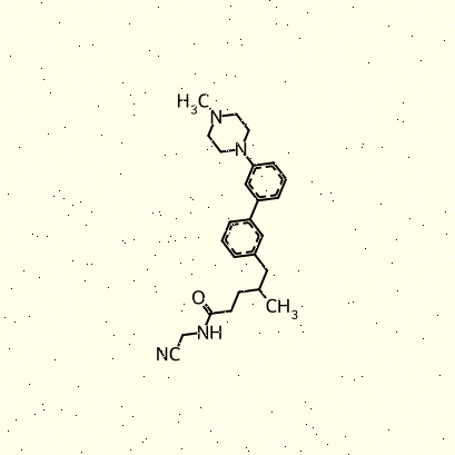 CC(CCC(=O)NCC#N)Cc1cccc(-c2cccc(N3CCN(C)CC3)c2)c1